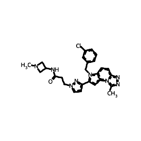 Cc1nnc2ccc3c(cc(-c4ccn(CCC(=O)NC5CN(C)C5)n4)n3Cc3cccc(Cl)c3)n12